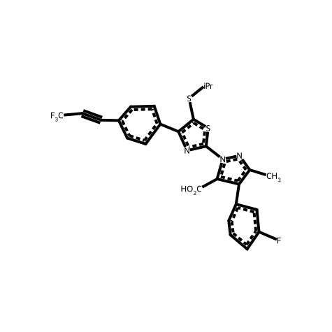 Cc1nn(-c2nc(-c3ccc(C#CC(F)(F)F)cc3)c(SC(C)C)s2)c(C(=O)O)c1-c1cccc(F)c1